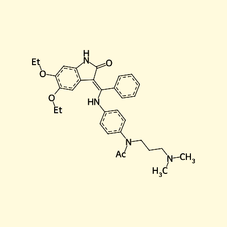 CCOc1cc2c(cc1OCC)C(=C(Nc1ccc(N(CCCN(C)C)C(C)=O)cc1)c1ccccc1)C(=O)N2